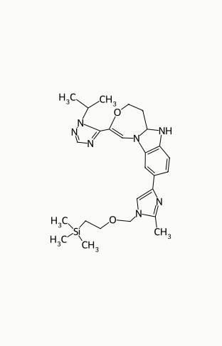 Cc1nc(-c2ccc3c(c2)N2C=C(c4ncnn4C(C)C)OCCC2N3)cn1COCC[Si](C)(C)C